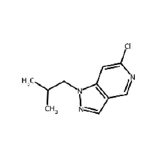 CC(C)Cn1ncc2cnc(Cl)cc21